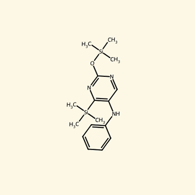 C[Si](C)(C)Oc1ncc(Nc2ccccc2)c([Si](C)(C)C)n1